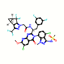 COc1nc2nc([C@H](Cc3cc(F)cc(F)c3)NC(=O)Cn3nc(C(F)F)c4c3C(F)(F)[C@@H]3C[C@H]43)n(-c3ccc(Cl)c4c(NS(C)(=O)=O)nn(C)c34)c(=O)c2cc1Cl